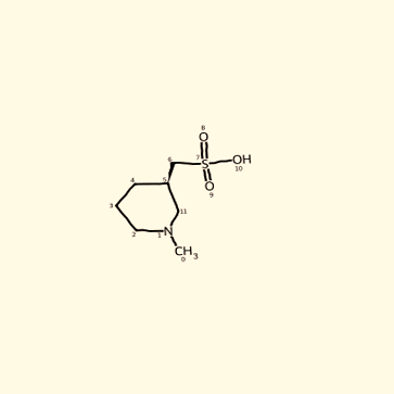 CN1CCC[C@@H](CS(=O)(=O)O)C1